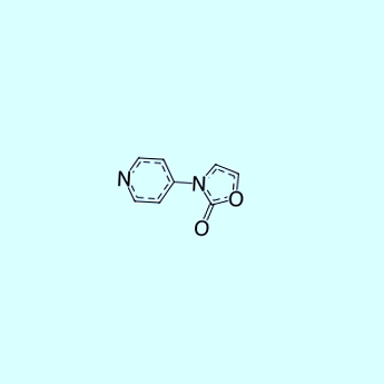 O=c1occn1-c1ccncc1